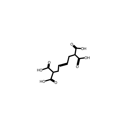 O=C(O)C(CC=CCC(C(=O)O)C(=O)O)C(=O)O